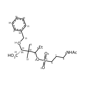 CCC(OS(=O)(=O)CCCNC(C)=O)C(C)(C)[C@@H](OCc1ccccc1)C(=O)O